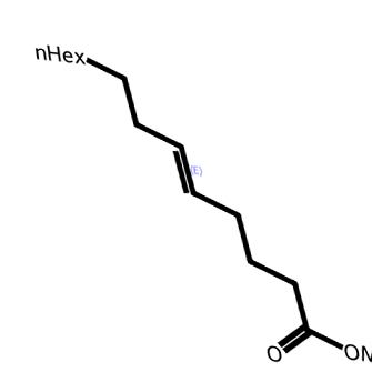 CCCCCCCC/C=C/CCCC(=O)OC